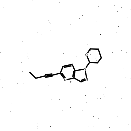 CCC#Cc1ccc2c(cnn2C2CCCCO2)n1